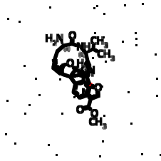 COC(=O)c1coc(-c2nc3oc2C24c5ccccc5N[C@H]2Oc2ccc(cc24)C[C@H](N)C(=O)N[C@H]3C(C)C)n1